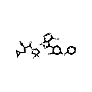 N#C/C(=C\C1CC1)C(=O)N1CC(F)(F)C[C@H]1Cn1nc(-c2ccc(Oc3ccccc3)cc2F)c2c([AsH2])ncnc21